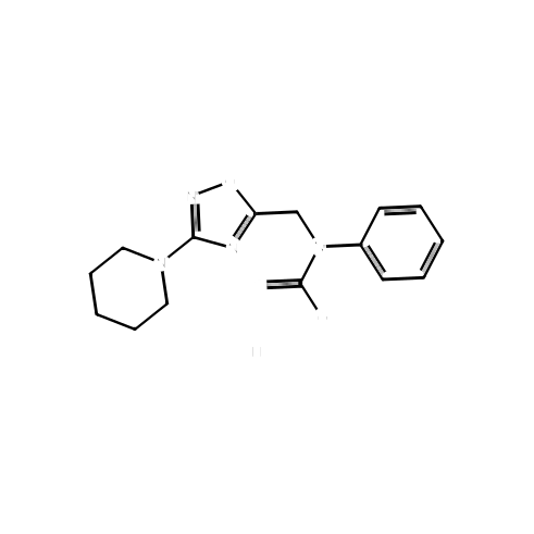 Cl.O=C(O)N(Cc1nc(N2CCCCC2)no1)c1ccccc1